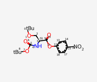 CC(C)(C)OC[C@H](NC(=O)OC(C)(C)C)C(=O)Oc1ccc([N+](=O)[O-])cc1